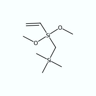 C=C[Si](C[Si](C)(C)C)(OC)OC